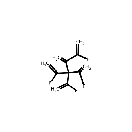 C=C(F)C(=C)C(C(=C)F)(C(=C)F)C(=C)F